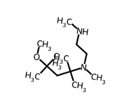 CNCCN(C)C(C)(C)CC(C)(C)OC